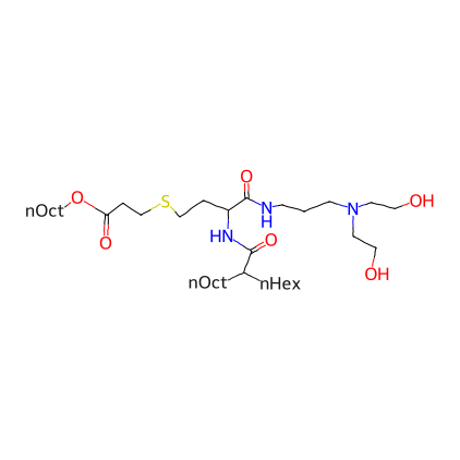 CCCCCCCCOC(=O)CCSCCC(NC(=O)C(CCCCCC)CCCCCCCC)C(=O)NCCCN(CCO)CCO